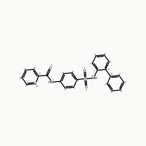 O=C(Nc1ccc(S(=O)(=O)Nc2ccccc2-c2ccccc2)cc1)c1ccccn1